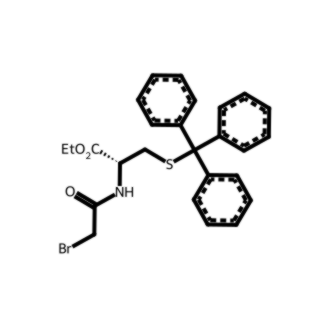 CCOC(=O)[C@H](CSC(c1ccccc1)(c1ccccc1)c1ccccc1)NC(=O)CBr